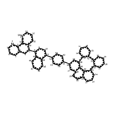 c1cnc2c(c1)cc(-c1ccc(-c3ccc(-c4cc5ccc6cccc7c8ccccc8c8ccccc8c(c4)c5c67)cc3)c3ccccc13)c1cccnc12